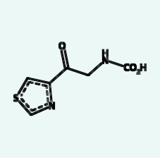 O=C(O)NCC(=O)c1cscn1